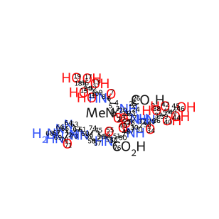 CNC(=O)[C@H](CCC(=O)NC[C@H](O)[C@@H](O)[C@H](O)[C@H](O)CO)NC(=O)[C@H](CCC(=O)O)NC(=O)[C@H](CCC(=O)NC[C@H](O)[C@@H](O)[C@H](O)[C@H](O)CO)NC(=O)CC[C@H](NC(=O)c1ccc(NCc2cnc3nc(N)[nH]c(=O)c3n2)cc1)C(=O)O